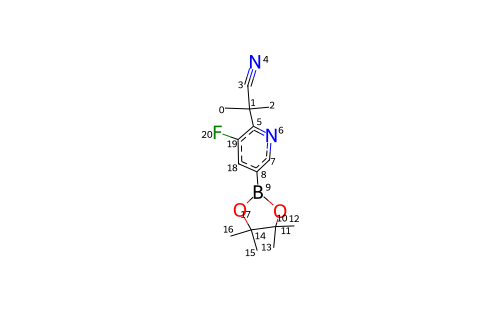 CC(C)(C#N)c1ncc(B2OC(C)(C)C(C)(C)O2)cc1F